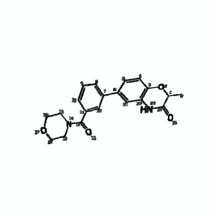 CC1Oc2ccc(-c3cccc(C(=O)N4CCOCC4)c3)cc2NC1=O